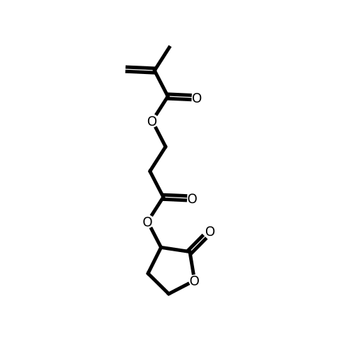 C=C(C)C(=O)OCCC(=O)OC1CCOC1=O